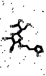 CC/C(C(C)=N)=C1\N=C(NCCc2ccn[nH]2)C(C#N)=C(N)N1